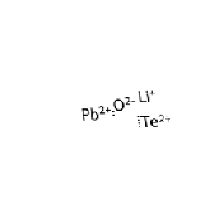 [Li+].[O-2].[Pb+2].[Te+2]